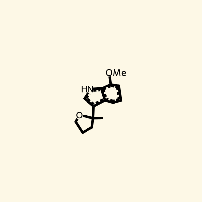 COc1cccc2c(C3(C)CCCO3)c[nH]c12